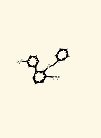 O=C(O)c1cccc(-c2cccc([N+](=O)[O-])c2)c1OCc1ccccc1